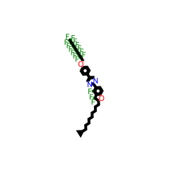 Fc1c(-c2ncc(-c3ccc(OCC(F)(F)C(F)(F)C(F)(F)C(F)(F)C(F)(F)C(F)(F)F)cc3)cn2)ccc2c1C(F)(F)C(CCCCCCCCCC1CC1)O2